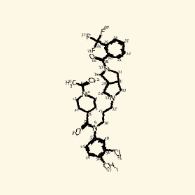 CC(=O)N1CCC(C(=O)N(CCCN2CC3CN(C(=O)c4ccccc4C(F)(F)F)CC3C2)c2ccc(C)c(Cl)c2)CC1